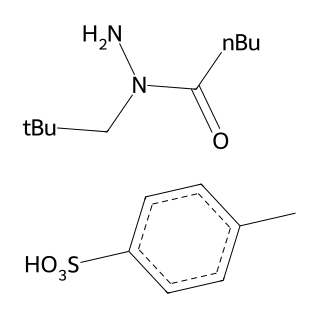 CCCCC(=O)N(N)CC(C)(C)C.Cc1ccc(S(=O)(=O)O)cc1